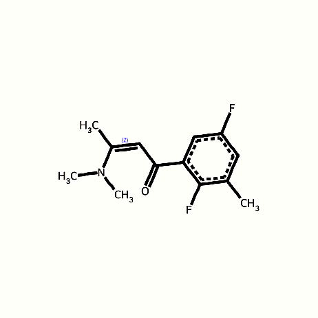 C/C(=C/C(=O)c1cc(F)cc(C)c1F)N(C)C